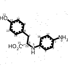 Nc1ccc(N[C@@H](Cc2ccc(O)cc2)C(=O)O)cc1